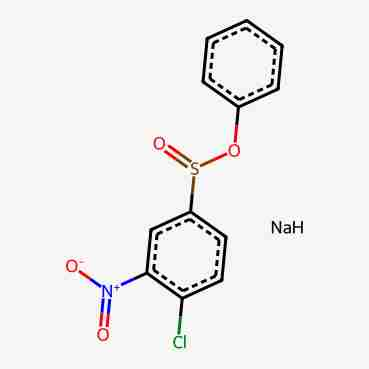 O=[N+]([O-])c1cc(S(=O)Oc2ccccc2)ccc1Cl.[NaH]